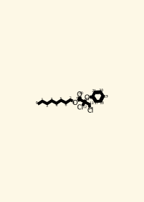 CCCCCCCCOC(=O)C(Cl)(CCl)Oc1ccccc1